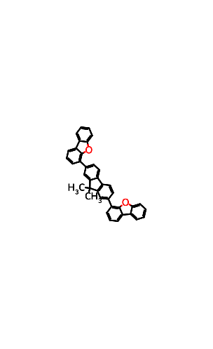 CC1(C)c2cc(-c3cccc4c3oc3ccccc34)ccc2-c2ccc(-c3cccc4c3oc3ccccc34)cc21